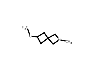 COC1CC2(C1)CN(C)C2